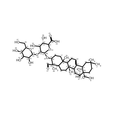 CC1(C)CC[C@@]2(C(=O)O)C(C1)C1=CCC3C4(C)CC[C@H](O[C@@H]5OC(C(=O)O)[C@@H](O)C(O)[C@@H]5O[C@@H]5OC(CO)[C@H](O)C(O)[C@@H]5O)[C@](C)(C=O)C4CC[C@@]3(C)[C@]1(C)C[C@H]2O